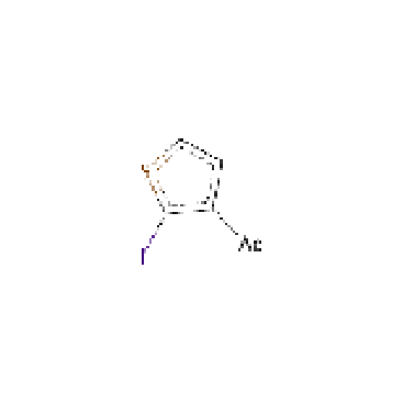 CC(=O)c1ccsc1I